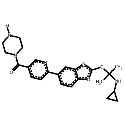 CCN1CCN(C(=O)c2ccc(-c3ccc4oc(OC(C)(C)NC5CC5)nc4c3)nc2)CC1